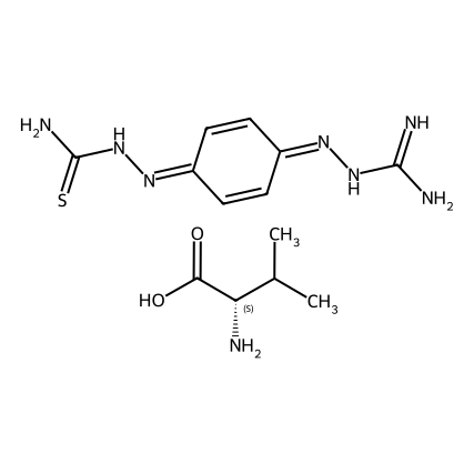 CC(C)[C@H](N)C(=O)O.N=C(N)NN=C1C=CC(=NNC(N)=S)C=C1